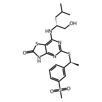 CC(C)C[C@H](CO)Nc1nc(S[C@@H](C)c2cccc(S(C)(=O)=O)c2)nc2[nH]c(=O)sc12